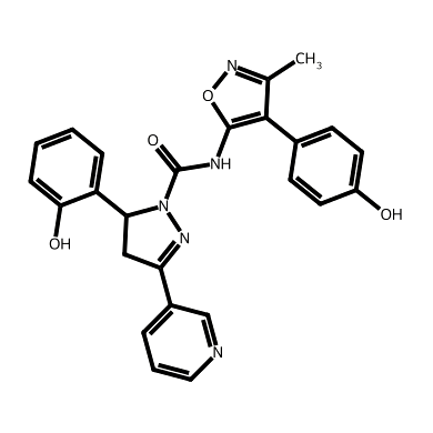 Cc1noc(NC(=O)N2N=C(c3cccnc3)CC2c2ccccc2O)c1-c1ccc(O)cc1